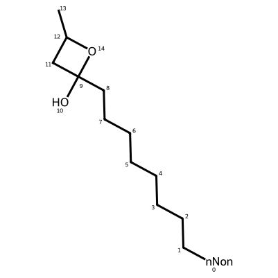 CCCCCCCCCCCCCCCCCC1(O)CC(C)O1